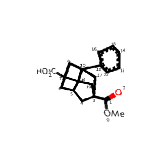 COC(=O)C12CC3CC4(C(=O)O)CC(c5ccccc5)(C1)C34C2